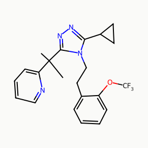 CC(C)(c1ccccn1)c1nnc(C2CC2)n1CCc1ccccc1OC(F)(F)F